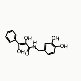 O=C(NCc1ccc(O)c(O)c1)C(O)=C(O)c1ccccc1